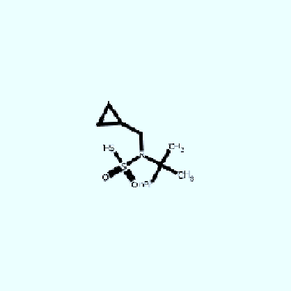 CCCC(C)(C)N(CC1CC1)S(=O)(=O)S